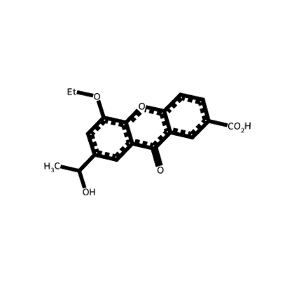 CCOc1cc(C(C)O)cc2c(=O)c3cc(C(=O)O)ccc3oc12